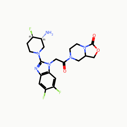 N[C@@H]1CN(c2nc3cc(F)c(F)cc3n2CC(=O)N2CCN3C(=O)OCC3C2)CC[C@H]1F